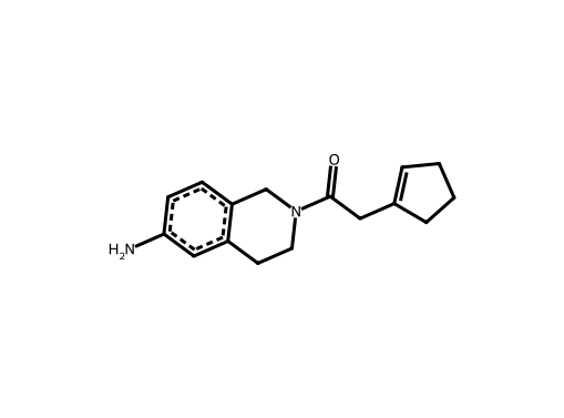 Nc1ccc2c(c1)CCN(C(=O)CC1=CCCC1)C2